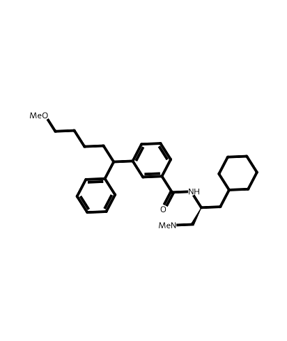 CNC[C@H](CC1CCCCC1)NC(=O)c1cccc(C(CCCCOC)c2ccccc2)c1